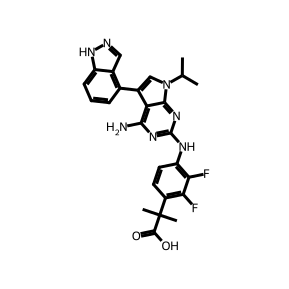 CC(C)n1cc(-c2cccc3[nH]ncc23)c2c(N)nc(Nc3ccc(C(C)(C)C(=O)O)c(F)c3F)nc21